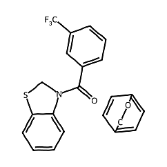 O=C(c1cccc(C(F)(F)F)c1)N1CSc2ccccc21.c1cc2ccc1CO2